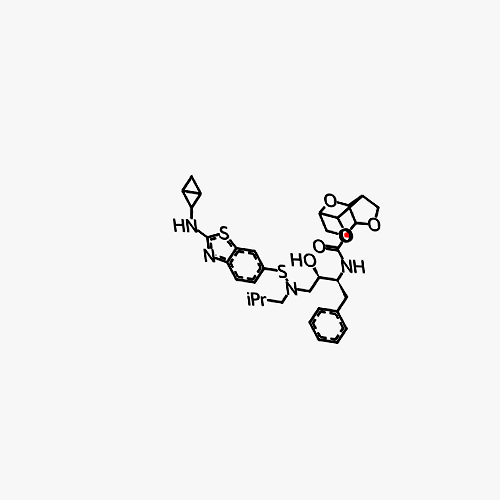 CC(C)CN(C[C@@H](O)[C@H](Cc1ccccc1)NC(=O)OC1C2COC3OCC1C3O2)Sc1ccc2nc(NC3C4CC43)sc2c1